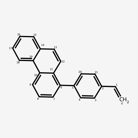 C=Cc1ccc(-c2cccc3c2ccc2ccccc23)cc1